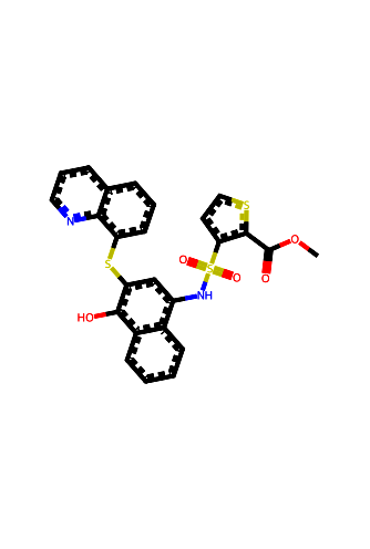 COC(=O)c1sccc1S(=O)(=O)Nc1cc(Sc2cccc3cccnc23)c(O)c2ccccc12